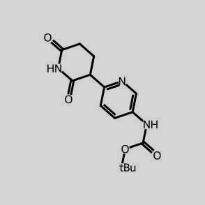 CC(C)(C)OC(=O)Nc1ccc(C2CCC(=O)NC2=O)nc1